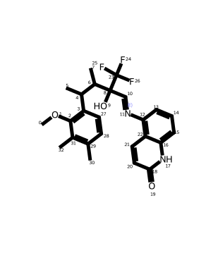 COc1c(C(C)C(C)C(O)(/C=N/c2cccc3[nH]c(=O)ccc23)C(F)(F)F)ccc(C)c1C